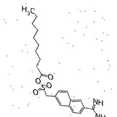 CCCCCCCCCC(=O)OS(=O)(=O)Cc1ccc2cc(C(=N)N)ccc2c1